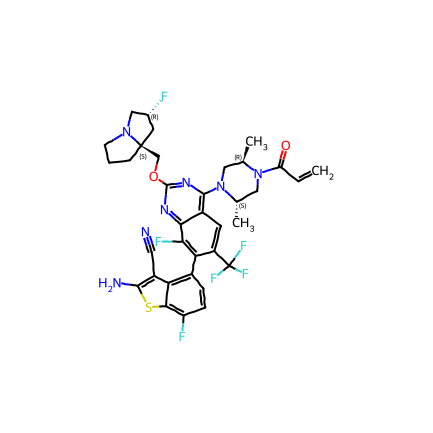 C=CC(=O)N1C[C@H](C)N(c2nc(OC[C@@]34CCCN3C[C@H](F)C4)nc3c(F)c(-c4ccc(F)c5sc(N)c(C#N)c45)c(C(F)(F)F)cc23)C[C@H]1C